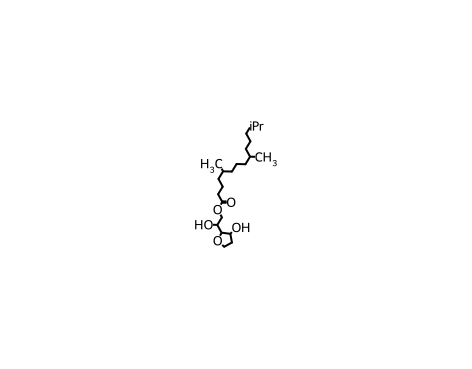 CC(C)CCCC(C)CCCC(C)CCCC(=O)OCC(O)C1OCCC1O